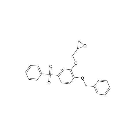 O=S(=O)(c1ccccc1)c1ccc(OCc2ccccc2)c(OCC2CO2)c1